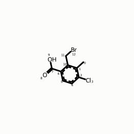 Cc1c(Cl)ccc(C(=O)O)c1CBr